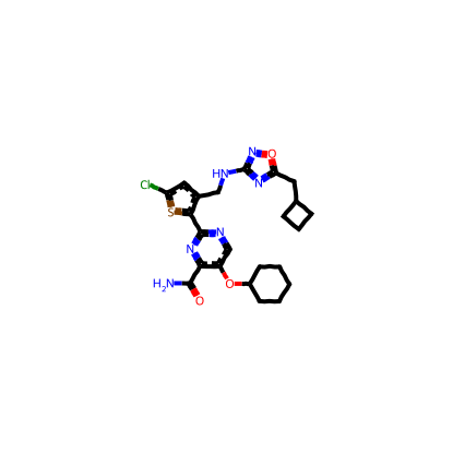 NC(=O)c1nc(-c2sc(Cl)cc2CNc2noc(CC3CCC3)n2)ncc1OC1CCCCC1